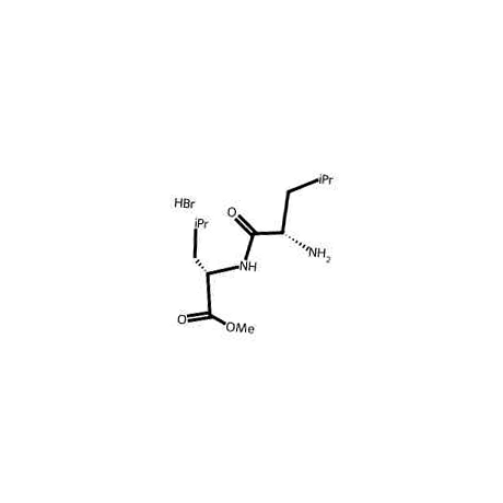 Br.COC(=O)[C@H](CC(C)C)NC(=O)[C@@H](N)CC(C)C